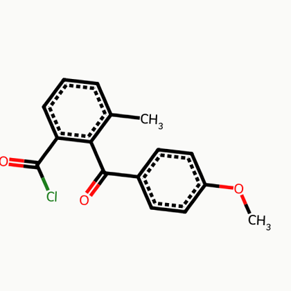 COc1ccc(C(=O)c2c(C)cccc2C(=O)Cl)cc1